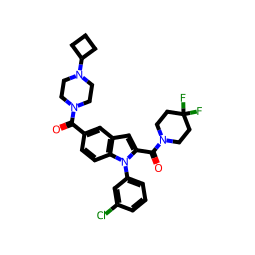 O=C(c1ccc2c(c1)cc(C(=O)N1CCC(F)(F)CC1)n2-c1cccc(Cl)c1)N1CCN(C2CCC2)CC1